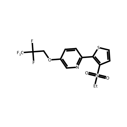 CCS(=O)(=O)c1ccsc1-c1ccc(OCC(F)(F)C(F)(F)F)cn1